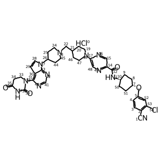 Cl.N#Cc1ccc(O[C@H]2CC[C@H](NC(=O)c3cnc(N4CCC(CN5CCC(n6ccc7c(N8CCC(=O)NC8=O)ncnc76)CC5)CC4)cn3)CC2)cc1Cl